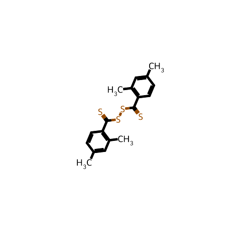 Cc1ccc(C(=S)SSC(=S)c2ccc(C)cc2C)c(C)c1